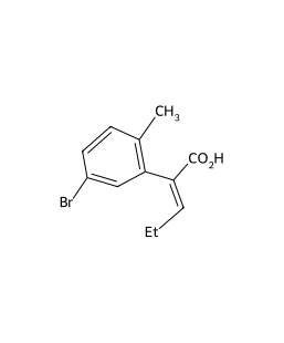 CC/C=C(/C(=O)O)c1cc(Br)ccc1C